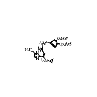 COc1ccc(Nc2cc(NC3CC3)c3ncc(C#N)n3n2)cc1OC